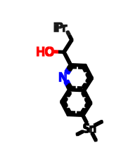 CC(C)CC(O)c1ccc2c[c]([Sn]([CH3])([CH3])[CH3])ccc2n1